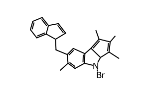 CC1=C(C)C2C(=C1C)c1cc(CC3C=Cc4ccccc43)c(C)cc1N2Br